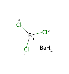 ClB(Cl)Cl.[BaH2]